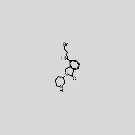 O=C1c2cccc(NCCBr)c2CN1C1CCCNC1